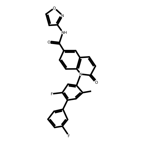 Cc1cc(-c2cccc(F)c2)c(F)cc1-n1c(=O)ccc2cc(C(=O)Nc3ccon3)ccc21